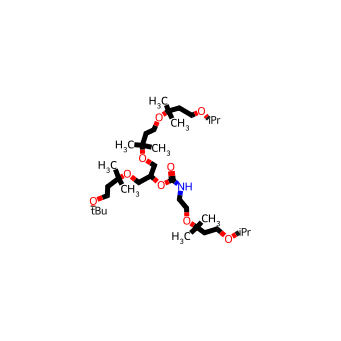 CC(C)OCCC(C)(C)OCCNC(=O)OC(COC(C)(C)CCOC(C)(C)C)COC(C)(C)CCOC(C)(C)CCOC(C)C